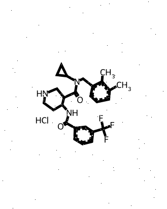 Cc1cccc(CN(C(=O)C2CNCCC2NC(=O)c2cccc(C(F)(F)F)c2)C2CC2)c1C.Cl